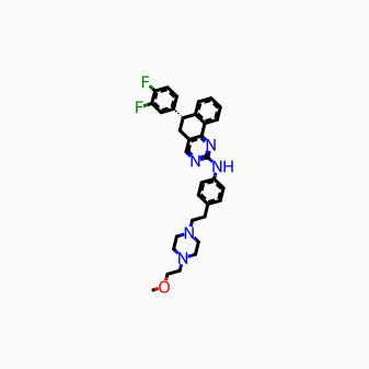 COCCN1CCN(CCc2ccc(Nc3ncc4c(n3)-c3ccccc3[C@@H](c3ccc(F)c(F)c3)C4)cc2)CC1